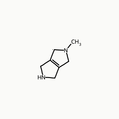 CN1[CH]C2=C(CNC2)C1